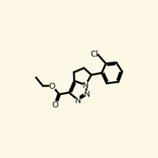 CCOC(=O)c1nnn2c1CCC2c1ccccc1Cl